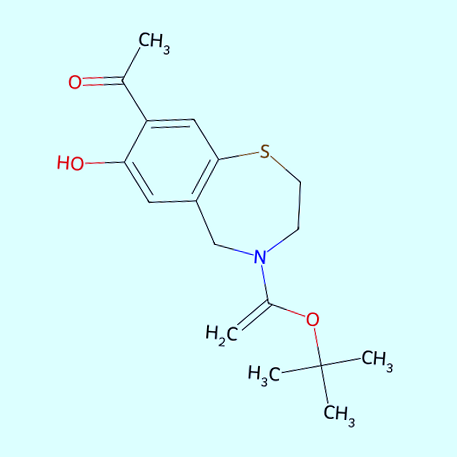 C=C(OC(C)(C)C)N1CCSc2cc(C(C)=O)c(O)cc2C1